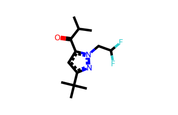 CC(C)C(=O)c1cc(C(C)(C)C)nn1CC(F)F